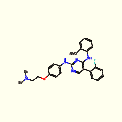 CCN(CC)CCOc1ccc(Nc2ncc(-c3ccccc3F)c(Nc3ccccc3OC)n2)cc1